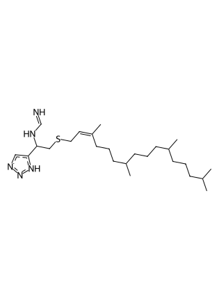 CC(=CCSCC(NC=N)c1cnn[nH]1)CCCC(C)CCCC(C)CCCC(C)C